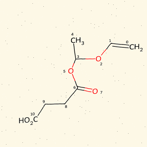 C=COC(C)OC(=O)CCC(=O)O